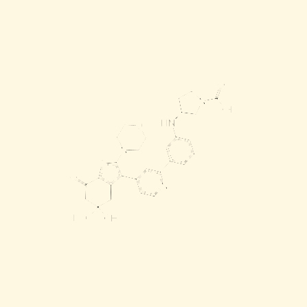 CC1(C)CC(=O)c2sc(N3CCOCC3)c(-c3ccnc(-c4cccc(N[C@H]5CCN(C(=O)O)C5)c4)c3)c2C1